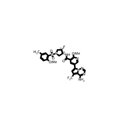 COc1ccc(C)cc1S(=O)(=O)N1C[C@H](F)[C@H](NC(=O)c2cc(-c3cc(C(F)(F)F)c4c(N)ncnn34)cnc2OC)C1